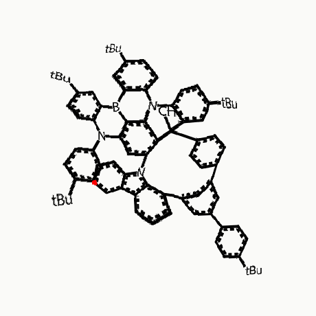 CC(C)(C)c1ccc(-c2cc3cc(c2)-c2cccc4c5ccccc5n(c24)-c2cc4c5c6c2C(C)(c2ccc-3cc2)c2cc(C(C)(C)C)ccc2N6c2ccc(C(C)(C)C)cc2B5c2cc(C(C)(C)C)ccc2N4c2ccc(C(C)(C)C)cc2)cc1